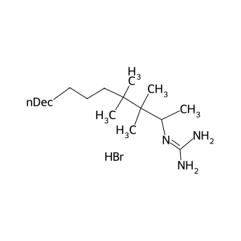 Br.CCCCCCCCCCCCCC(C)(C)C(C)(C)C(C)N=C(N)N